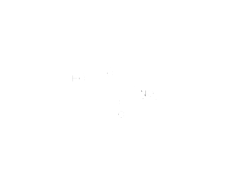 O=C=C(C[N+](=O)[O-])C1OC1CO